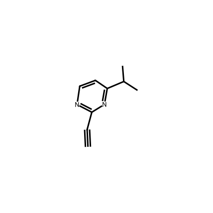 C#Cc1nccc(C(C)C)n1